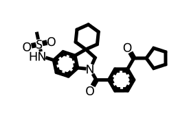 CS(=O)(=O)Nc1ccc2c(c1)C1(CCCCC1)CN2C(=O)c1cccc(C(=O)C2CCCC2)c1